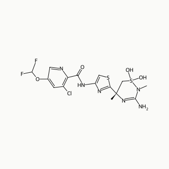 CN1C(N)=N[C@](C)(c2nc(NC(=O)c3ncc(OC(F)F)cc3Cl)cs2)CS1(O)O